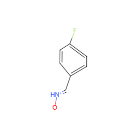 [O-][NH+]=Cc1ccc(F)cc1